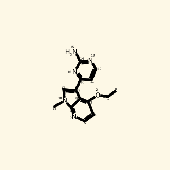 CCOc1ccnc2c1c(-c1ccnc(N)n1)cn2C